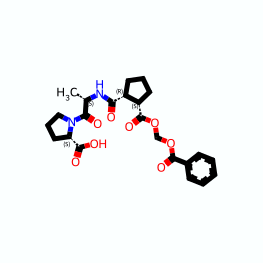 C[C@H](NC(=O)[C@@H]1CCC[C@@H]1C(=O)OCOC(=O)c1ccccc1)C(=O)N1CCC[C@H]1C(=O)O